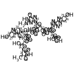 Cc1cn(C2C[C@@H](O)C(COP(=O)(O)O[C@@H]3CC(n4ccc5nc6cc(O)ccc6n5c4=O)OC3COP(=O)(O)O[C@@H]3CC(n4cnc5c(=O)[nH]c(N)nc54)OC3COP(=O)(O)O[C@@H]3CC(n4cnc5c4ncn4c6ccc(O)cc6nc54)OC3COP(=O)(O)O)O2)c(=O)[nH]c1=O